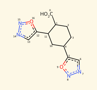 O=C(O)C1CCC(c2cnno2)CC1c1cnno1